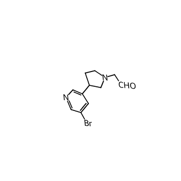 O=CCN1CCC(c2cncc(Br)c2)C1